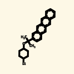 CCC1CCC(OC(C)(C)c2ccc3cc4cc5ccccc5cc4cc3c2)CC1